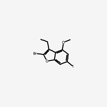 CCc1c(Br)oc2cc(I)cc(OC)c12